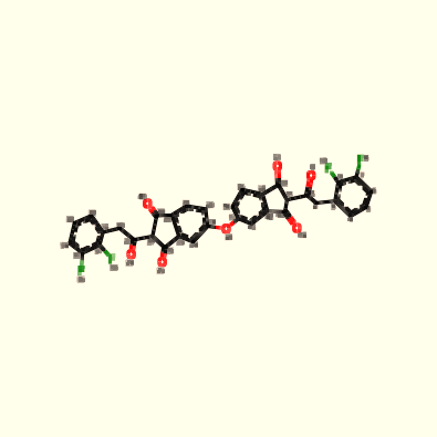 O=C(Cc1cccc(F)c1F)C1C(=O)c2ccc(Oc3ccc4c(c3)C(=O)C(C(=O)Cc3cccc(F)c3F)C4=O)cc2C1=O